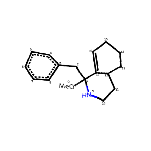 COC1(Cc2ccccc2)NCCC2CCCC=C21